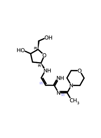 C/C(=N/C(=N)/C=C\N[C@H]1CC(O)[C@@H](CO)O1)N1CCOCC1